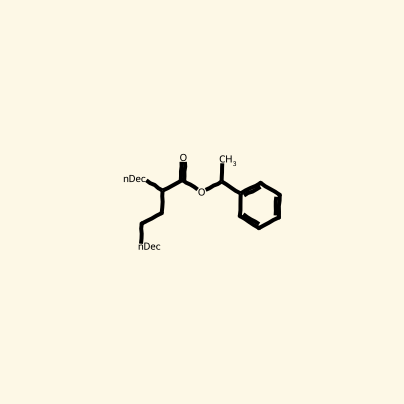 CCCCCCCCCCCCC(CCCCCCCCCC)C(=O)OC(C)c1ccccc1